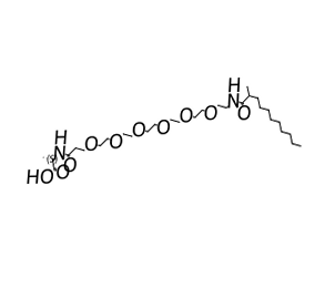 CCCCCCCCCC(C)C(=O)NCCOCCOCCOCCOCCOCCOCCC(=O)N[C@@H](C)C(=O)O